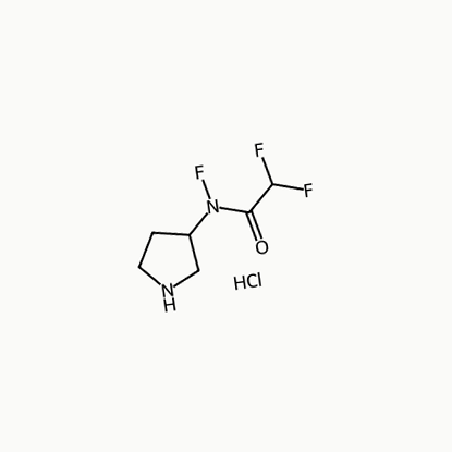 Cl.O=C(C(F)F)N(F)C1CCNC1